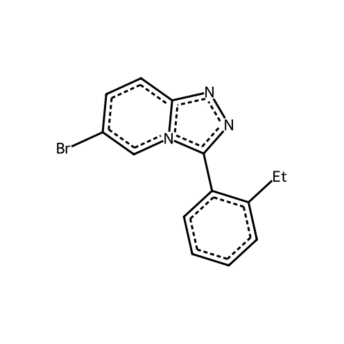 CCc1ccccc1-c1nnc2ccc(Br)cn12